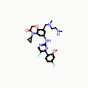 CNCCN(C)Cc1cc(Nc2ncc(F)c(-c3ccc(F)cc3OC)n2)cc2c1OCC(=O)N2C1CC1